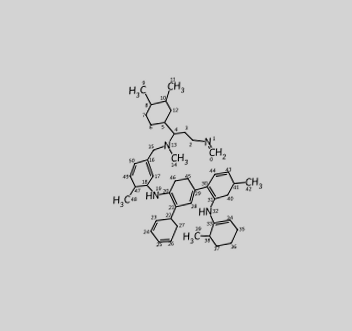 C=NCCC(C1CCC(C)C(C)C1)N(C)CC1=CC(NC2=C(C3C=CC=CC3)C=C(C3=C(NC4=CCCCC4C)CC(C)C=C3)CC2)C(C)C=C1